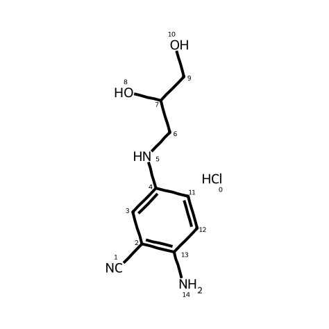 Cl.N#Cc1cc(NCC(O)CO)ccc1N